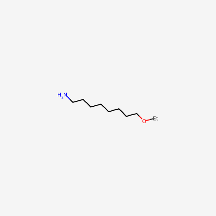 CCOCCCCCCCCN